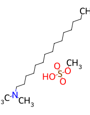 CCCCCCCCCCCCCCCN(C)C.COS(=O)(=O)O